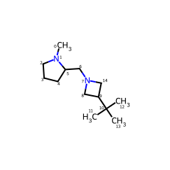 CN1CCCC1CN1CC(C(C)(C)C)C1